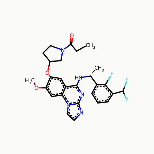 CCC(=O)N1CCC(Oc2cc3c(N[C@H](C)c4cccc(C(F)F)c4F)nc4nccn4c3cc2OC)C1